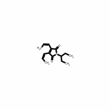 C/C=C\C1=C(/C=C\C)C(=O)N(C(CC)CC)C1=O